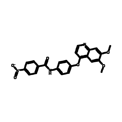 COc1cc2nccc(Oc3ccc(NC(=O)c4ccc([N+](=O)[O-])cc4)cc3)c2cc1OC